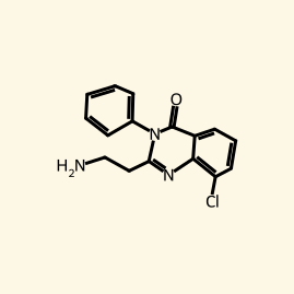 NCCc1nc2c(Cl)cccc2c(=O)n1-c1ccccc1